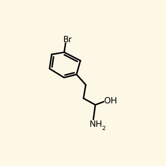 NC(O)CCc1cccc(Br)c1